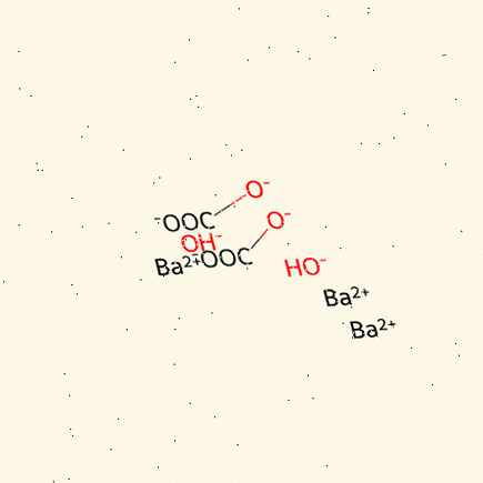 O=C([O-])[O-].O=C([O-])[O-].[Ba+2].[Ba+2].[Ba+2].[OH-].[OH-]